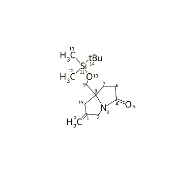 C=C1CN2C(=O)CCC2(CO[Si](C)(C)C(C)(C)C)C1